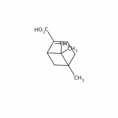 CC12CC=C(C(=O)O)C(C1)C2(C)C